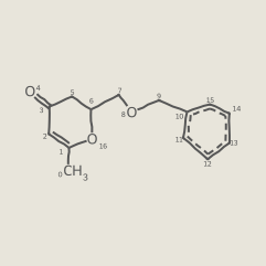 CC1=CC(=O)CC(COCc2ccccc2)O1